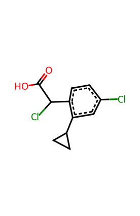 O=C(O)C(Cl)c1ccc(Cl)cc1C1CC1